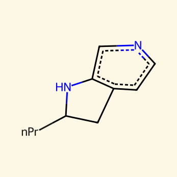 CCCC1Cc2ccncc2N1